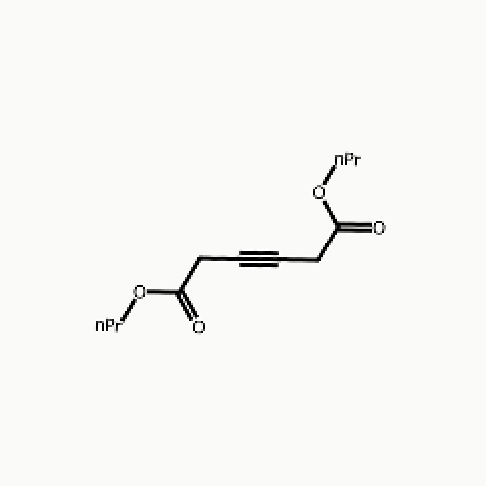 CCCOC(=O)CC#CCC(=O)OCCC